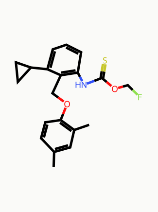 Cc1ccc(OCc2c(NC(=S)OCF)cccc2C2CC2)c(C)c1